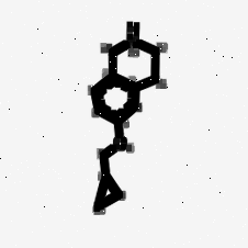 c1cc2c(cc1OCC1CC1)CCNC2